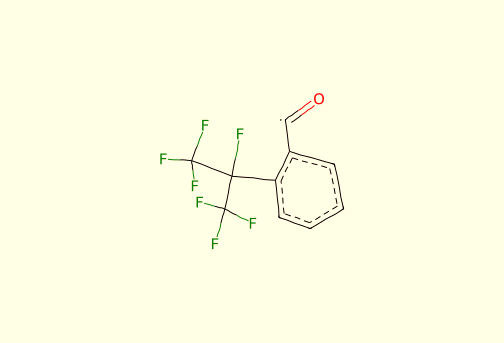 O=[C]c1ccccc1C(F)(C(F)(F)F)C(F)(F)F